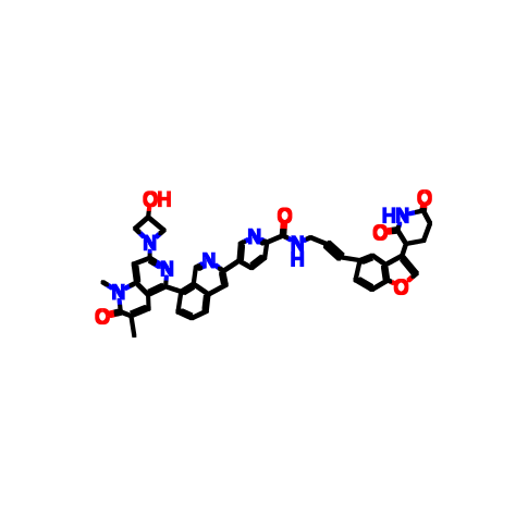 Cc1cc2c(-c3cccc4cc(-c5ccc(C(=O)NCC#Cc6ccc7occ(C8CCC(=O)NC8=O)c7c6)nc5)ncc34)nc(N3CC(O)C3)cc2n(C)c1=O